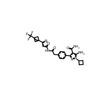 NC(=O)c1c(-c2ccc(CC(=O)Nc3cc(C45CC(C(F)(F)F)(C4)C5)no3)cc2)nn(C2CCC2)c1N